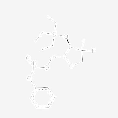 CC[Si](CC)(CC)O[C@@H]1[C@@H](CO[PH](=O)Oc2ccccc2)OC[C@]1(C)F